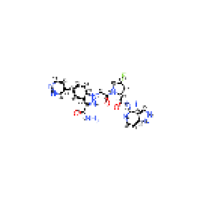 NC(=O)c1nn(CC(=O)N2CC(F)CC2C(=O)NC2N=CC=C3N=NC=C32)c2ccc(-c3ccnnc3)cc12